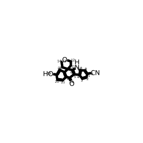 N#Cc1ccc2c3c([nH]c2c1)C1(CCOCC1)c1cc(O)ccc1C3=O